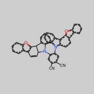 N#Cc1cc(N2c3ccccc3C3c4oc5ccccc5c4C=CC32)c(-n2c3ccccc3c3c4oc5ccccc5c4ccc32)cc1C#N